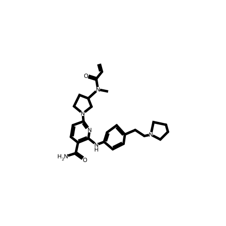 C=CC(=O)N(C)C1CCN(c2ccc(C(N)=O)c(Nc3ccc(CCN4CCCC4)cc3)n2)C1